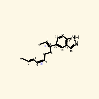 CC=C/C=C\CC/C(=C\C)c1ccc2[nH]ncc2c1